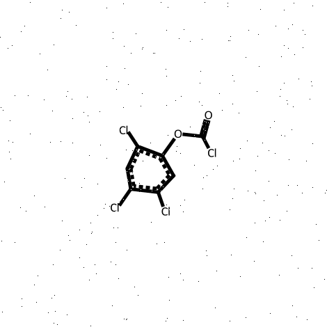 O=C(Cl)Oc1cc(Cl)c(Cl)cc1Cl